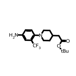 CC(C)(C)OC(=O)CC1CCN(c2ccc(N)cc2C(F)(F)F)CC1